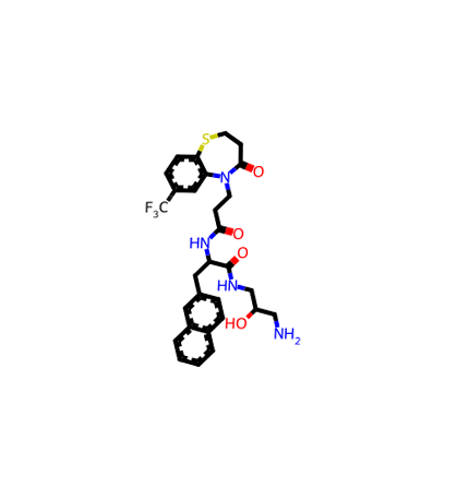 NCC(O)CNC(=O)C(Cc1ccc2ccccc2c1)NC(=O)CCN1C(=O)CCSc2ccc(C(F)(F)F)cc21